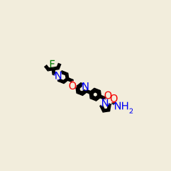 CCC(F)(CC)CN1CCC(COc2ccc(-c3ccc(C(=O)N4CCC[C@H]4C(N)=O)cc3)nc2)CC1